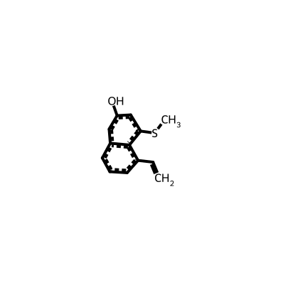 C=Cc1cccc2cc(O)cc(SC)c12